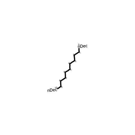 CCCCCCC[CH]CCCCCCCCCCCCCCCCCCCCC